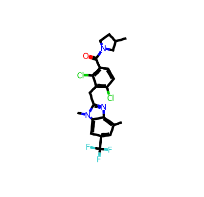 Cc1cc(C(F)(F)F)cc2c1nc(Cc1c(Cl)ccc(C(=O)N3CCC(C)C3)c1Cl)n2C